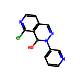 OB1c2c(ccnc2Cl)C=NN1c1cccnc1